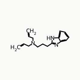 C=CCN(CC=C)CCCc1nc2ccccc2[nH]1